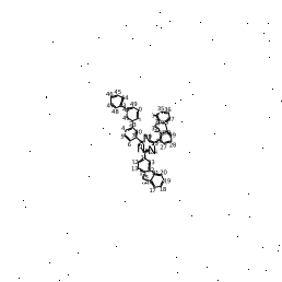 C1=CC(c2cccc(-c3nc(-c4ccc5sc6ccccc6c5c4)nc(-c4cccc5c4sc4ccccc45)n3)c2)CC(c2ccccc2)=C1